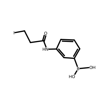 O=C(CCI)Nc1cccc(B(O)O)c1